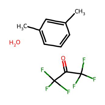 Cc1cccc(C)c1.O.O=C(C(F)(F)F)C(F)(F)F